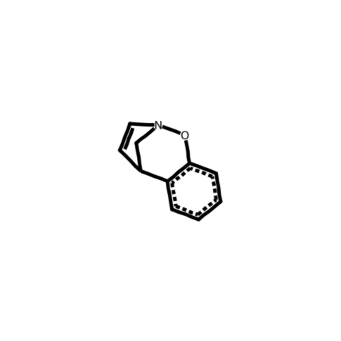 C1=CN2CC1c1ccccc1O2